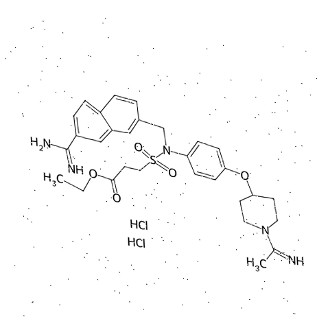 CCOC(=O)CCS(=O)(=O)N(Cc1ccc2ccc(C(=N)N)cc2c1)c1ccc(OC2CCN(C(C)=N)CC2)cc1.Cl.Cl